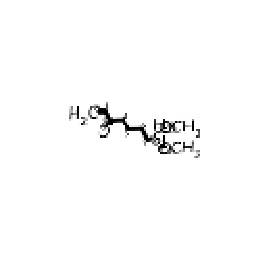 C=CC(=O)CCCC[SiH](OC)OC